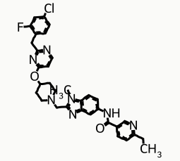 CCc1ccc(C(=O)Nc2ccc3c(c2)nc(CN2CCC(Oc4ccnc(Cc5ccc(Cl)cc5F)n4)CC2)n3C)cn1